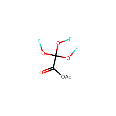 CC(=O)OC(=O)C(OF)(OF)OF